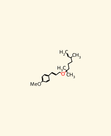 C=CC(C)CCCC(C)(C)OCC=Cc1ccc(OC)cc1